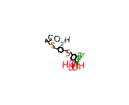 O=C(O)CC1(CSCc2ccc(CSCc3ccc(C(F)(F)P(=O)(O)O)c(Br)c3)cc2)CC1